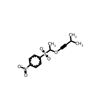 CC(C)C#COC(C)S(=O)(=O)c1ccc([N+](=O)[O-])cc1